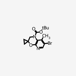 Cc1c(Br)cnc2c1N(C(=O)OC(C)(C)C)CC1(CC1)O2